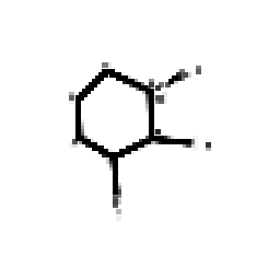 FC1CCC[C@H](F)C1I